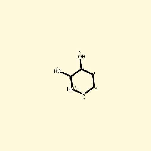 OC1CCSNC1O